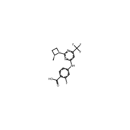 C[C@H]1CCN1c1nc(Nc2ccc(C(=O)O)c(F)c2)cc(C(F)(F)F)n1